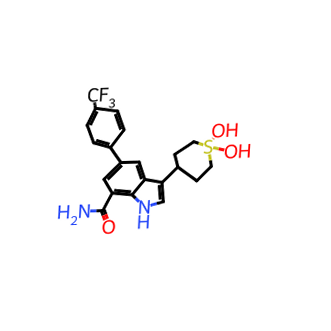 NC(=O)c1cc(-c2ccc(C(F)(F)F)cc2)cc2c(C3CCS(O)(O)CC3)c[nH]c12